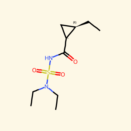 CC[C@@H]1C[C]1C(=O)NS(=O)(=O)N(CC)CC